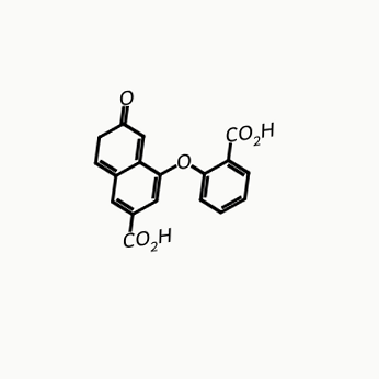 O=C1C=c2c(Oc3ccccc3C(=O)O)cc(C(=O)O)cc2=CC1